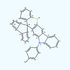 Cc1ccc(-n2c3ccccc3c3cc4c(cc32)C2(c3ccccc3S4)c3ccccc3-c3ccccc32)cc1